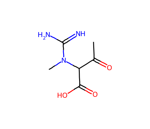 CC(=O)C(C(=O)O)N(C)C(=N)N